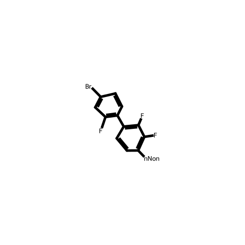 CCCCCCCCCc1ccc(-c2ccc(Br)cc2F)c(F)c1F